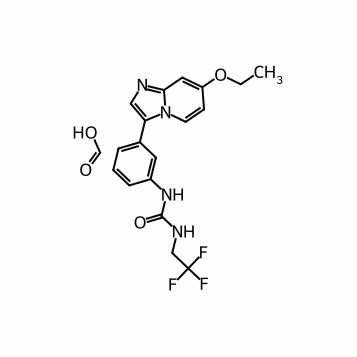 CCOc1ccn2c(-c3cccc(NC(=O)NCC(F)(F)F)c3)cnc2c1.O=CO